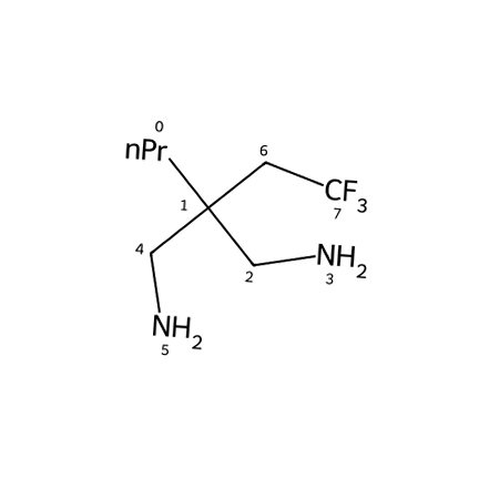 CCCC(CN)(CN)CC(F)(F)F